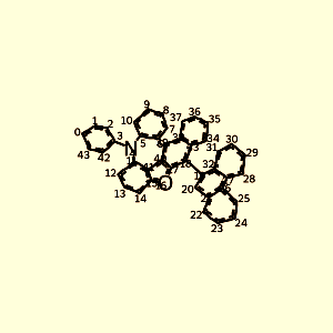 c1ccc(N(c2ccccc2)c2cccc3oc4c(-c5cc6ccccc6c6ccccc56)c5ccccc5cc4c23)cc1